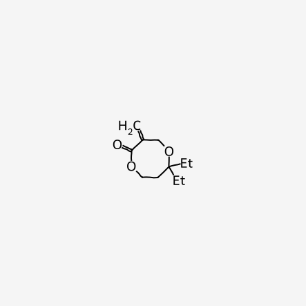 C=C1COC(CC)(CC)CCOC1=O